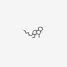 CCC1C[C@@H]2C[C@H](O)CC[C@]2(C)[C@H]2CC[C@]3(C)[C@@H]([C@H](C)CCC(=O)OC)CC[C@H]3[C@H]12